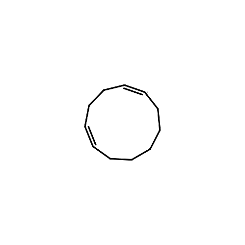 [C]1=C\CC/C=C\CCCCC/1